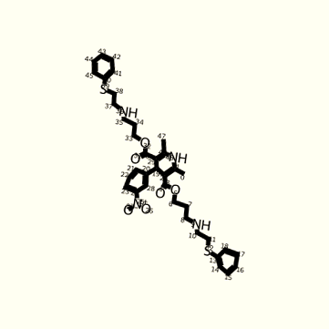 CC1=C(C(=O)OCCCNCCSc2ccccc2)C(c2cccc([N+](=O)[O-])c2)C(C(=O)OCCCNCCSc2ccccc2)=C(C)N1